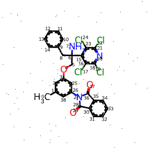 Cc1cc(OCC(N)(Cc2ccccc2)c2c(Cl)c(Cl)nc(Cl)c2Cl)cc(N2C(=O)c3ccccc3C2=O)c1